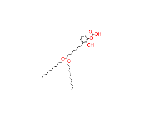 CCCCCCCCCOC(CCCCCCc1cccc(OC(=O)O)c1O)OCCCCCCCCC